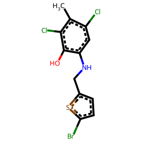 Cc1c(Cl)cc(NCc2ccc(Br)s2)c(O)c1Cl